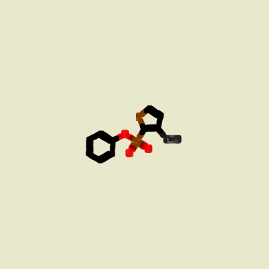 O=Cc1ccsc1S(=O)(=O)Oc1ccccc1